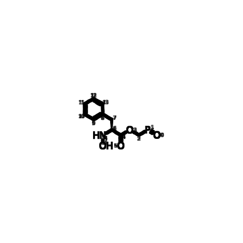 O=PCOC(=O)[C@H](Cc1ccccc1)NO